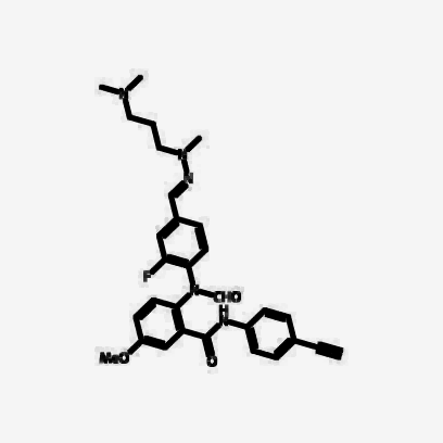 C#Cc1ccc(NC(=O)c2cc(OC)ccc2N(C=O)c2ccc(C=NN(C)CCCN(C)C)cc2F)cc1